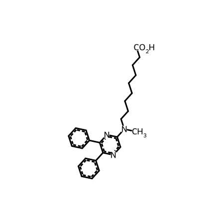 CN(CCCCCCCCC(=O)O)c1cnc(-c2ccccc2)c(-c2ccccc2)n1